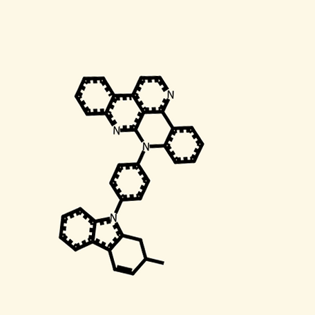 CC1C=Cc2c(n(-c3ccc(N4c5ccccc5-c5nccc6c5c4nc4ccccc46)cc3)c3ccccc23)C1